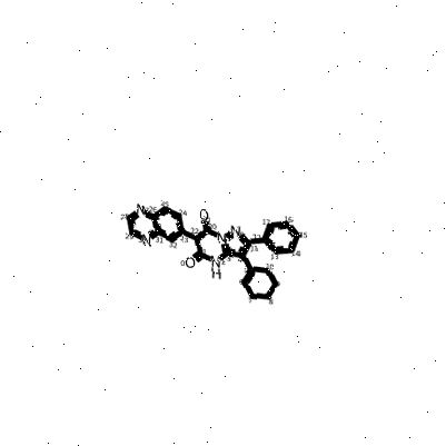 O=C1Nc2c(C3=CCCCC3)c(-c3ccccc3)nn2C(=O)C1c1ccc2nccnc2c1